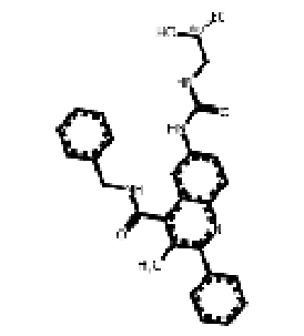 CC[C@@H](O)CNC(=O)Nc1ccc2nc(-c3ccccc3)c(C)c(C(=O)NCc3ccccc3)c2c1